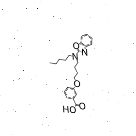 CCCCCN(CCCCOc1cccc(C(=O)O)c1)c1nc2ccccc2o1